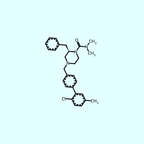 Cc1ccc(Cl)c(-c2ccc(CN3CCN(C(=O)N(C)C)[C@H](Cc4ccccc4)C3)cc2)c1